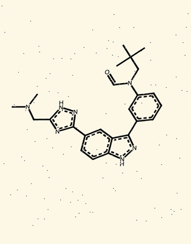 CN(C)Cc1nc(-c2ccc3[nH]nc(-c4cccc(N(C=O)CC(C)(C)C)c4)c3c2)n[nH]1